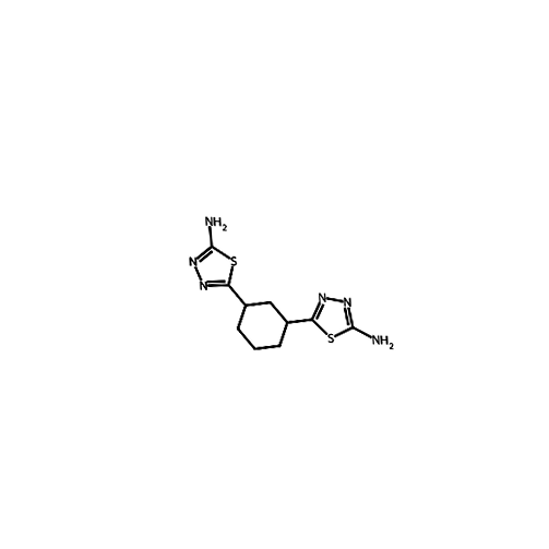 Nc1nnc(C2CCCC(c3nnc(N)s3)C2)s1